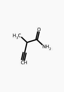 C#C[C](C)C(N)=O